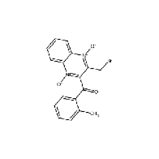 Cc1ccccc1C(=O)c1c(CBr)[n+]([O-])c2ccccc2[n+]1[O-]